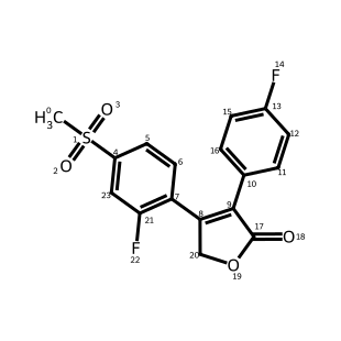 CS(=O)(=O)c1ccc(C2=C(c3ccc(F)cc3)C(=O)OC2)c(F)c1